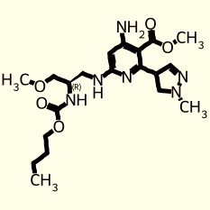 CCCCOC(=O)N[C@H](CNc1cc(N)c(C(=O)OC)c(C2C=NN(C)C2)n1)COC